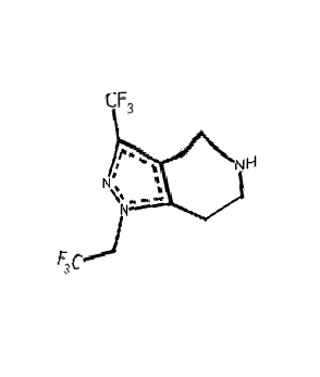 FC(F)(F)Cn1nc(C(F)(F)F)c2c1CCNC2